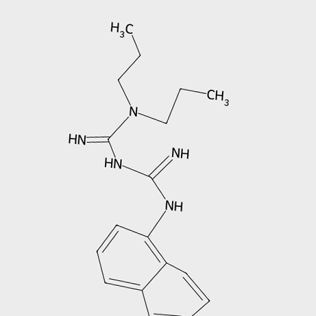 CCCN(CCC)C(=N)NC(=N)Nc1cccc2cnccc12